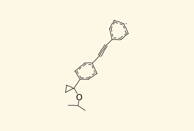 CC(C)OC1(c2ccc(C#Cc3cc[c]cc3)cc2)CC1